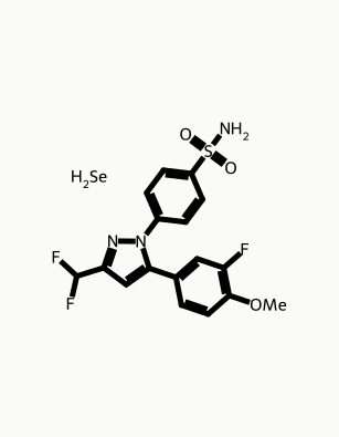 COc1ccc(-c2cc(C(F)F)nn2-c2ccc(S(N)(=O)=O)cc2)cc1F.[SeH2]